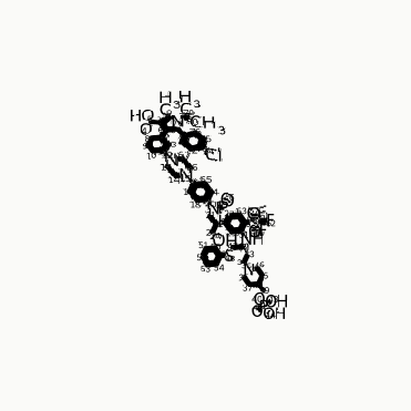 Cc1c(C(=O)O)c(-c2cccc(N3CCN(c4ccc(N(CCCO)[PH](=O)c5ccc(N[C@H](CCN6CCC(COP(=O)(O)O)CC6)CSc6ccccc6)c(S(=O)(=O)C(F)(F)F)c5)cc4)CC3)c2)c(-c2ccc(Cl)cc2)n1C(C)C